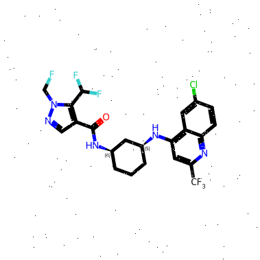 O=C(N[C@@H]1CCC[C@H](Nc2cc(C(F)(F)F)nc3ccc(Cl)cc23)C1)c1cnn(CF)c1C(F)F